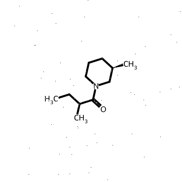 CCC(C)C(=O)N1CCC[C@@H](C)C1